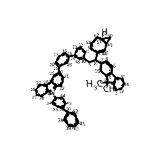 CC1(C)C2=C(C=CC(C(Cc3cccc(-c4cccc(-c5ccc6c(c5)c5ccccc5n6-c5ccc(-c6ccccc6)cc5)c4)c3)C3=CC4C[C@@H]4C=C=C3)C2)c2ccccc21